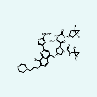 CC[C@@H]1CC1(NC(=O)[C@@H]1C[C@@H](Oc2cc(-c3csc(NC(C)C)n3)nc3c(Cl)c(OCCN4CCOCC4)ccc23)CN1C(=O)[C@@H](NC(=O)O[C@@H]1C[C@@H]2C[C@@H]2C1)C(C)(C)C)C(C)=O